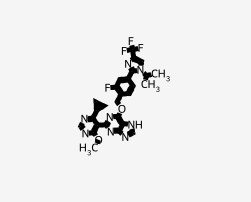 COc1ncnc(C2CC2)c1-c1nc(OCc2ccc(-c3nc(C(F)(F)F)cn3C(C)C)cc2F)c2[nH]cnc2n1